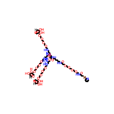 N=N/C(=C\NCCOCCOCCOCCOC[C@]12CO[C@H](C[C@@H](O)[C@H]1O)O2)COCC(COC/C(N)=C/NCCOCCOCCOCCOC[C@]12CO[C@H](C[C@@H](O)[C@H]1O)O2)(COCc1cn(CCOCCOCCOCCOC[C@]23CO[C@H](C[C@@H](O)[C@H]2O)O3)nn1)NC(=O)CCCCCNC(=O)CCOCCOCCOCCOCCNC(=O)CCSSc1ccccn1